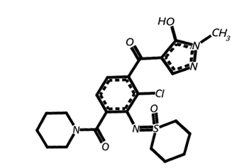 Cn1ncc(C(=O)c2ccc(C(=O)N3CCCCC3)c(N=S3(=O)CCCCC3)c2Cl)c1O